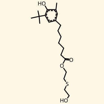 Cc1cc(CCCCCCC(=O)OCCSCCO)cc(C(C)(C)C)c1O